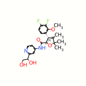 COc1c([C@@H]2[C@@H](C)C(C)(C)O[C@H]2C(=O)Nc2ccnc(C(O)CO)c2)ccc(F)c1F